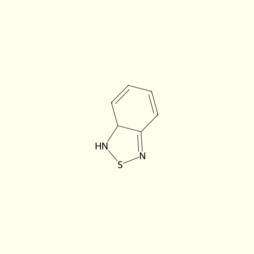 C1=CC2=NSNC2C=C1